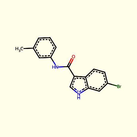 Cc1cccc(NC(=O)c2c[nH]c3cc(Br)ccc23)c1